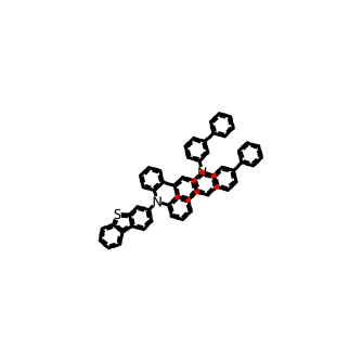 c1ccc(-c2cccc(N(c3cccc(-c4ccccc4)c3)c3cccc(-c4ccccc4N(c4cccc(-c5ccccc5)c4)c4ccc5c(c4)sc4ccccc45)c3)c2)cc1